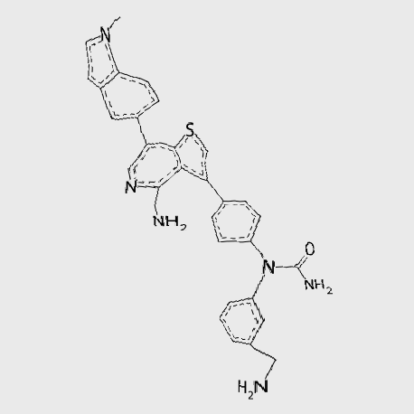 Cn1ccc2cc(-c3cnc(N)c4c(-c5ccc(N(C(N)=O)c6cccc(CN)c6)cc5)csc34)ccc21